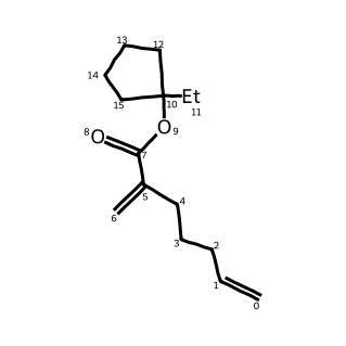 C=CCCCC(=C)C(=O)OC1(CC)CCCC1